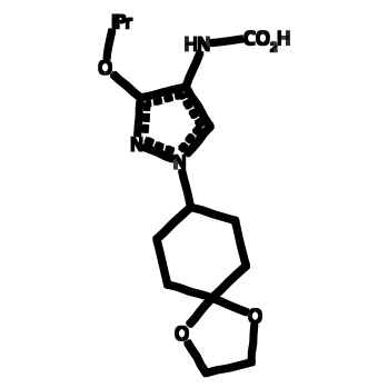 CC(C)Oc1nn(C2CCC3(CC2)OCCO3)cc1NC(=O)O